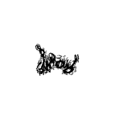 COc1ccc(-c2nc3c(C(=O)N4CCN(Cc5ccccc5C#N)C[C@H]4C)cnn3c(C(F)(F)F)c2F)cc1